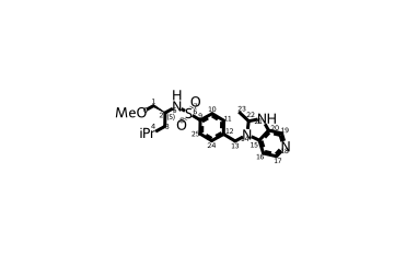 COC[C@H](CC(C)C)NS(=O)(=O)c1ccc(CN2c3ccncc3NC2C)cc1